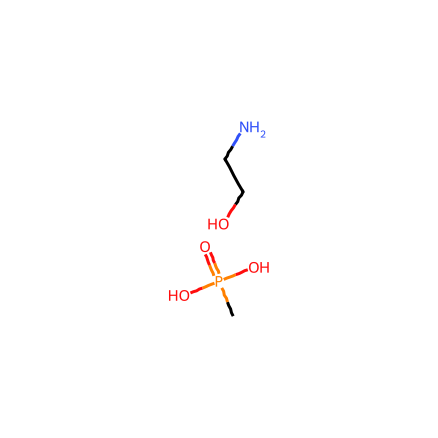 CP(=O)(O)O.NCCO